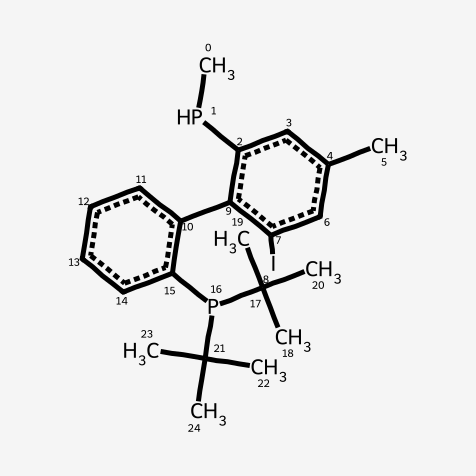 CPc1cc(C)cc(I)c1-c1ccccc1P(C(C)(C)C)C(C)(C)C